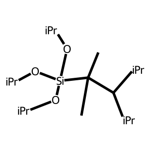 CC(C)O[Si](OC(C)C)(OC(C)C)C(C)(C)C(C(C)C)C(C)C